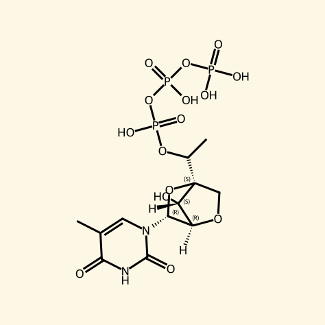 Cc1cn([C@@H]2O[C@@]3(C(C)OP(=O)(O)OP(=O)(O)OP(=O)(O)O)CO[C@@H]2[C@@H]3O)c(=O)[nH]c1=O